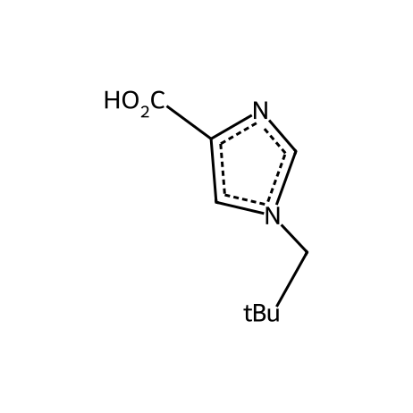 CC(C)(C)Cn1cnc(C(=O)O)c1